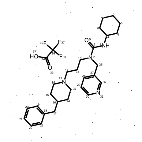 O=C(NC1CCCCC1)N(CCCN1CCC(Cc2ccccc2)CC1)Cc1cccnc1.O=C(O)C(F)(F)F